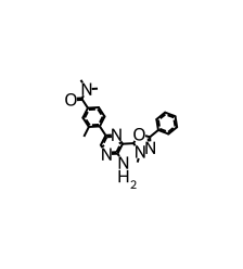 Cc1cc(C(=O)N(C)C)ccc1-c1cnc(N)c(C2OC(c3ccccc3)=NN2C)n1